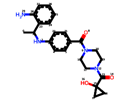 CC(Nc1ccc(C(=O)N2CCN(C(=O)C3(O)CC3)CC2)cc1)c1ccccc1N